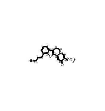 N=C/C=C/c1cccc2c3c(oc12)-c1cc(=O)c(C(=O)O)cn1CC3